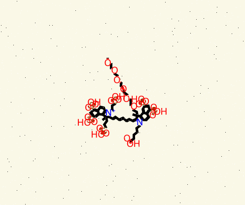 COCCOCCOCCOCCOCCOCCC1(C)\C(=C/C=C/C=C/C=C/C2=[N+](CCCS(=O)(=O)O)c3ccc4c(S(=O)(=O)O)cc(S(=O)(=O)O)cc4c3C2(C)CCCS(=O)(=O)O)N(CCCCCC(=O)O)c2ccc3c(S(=O)(=O)O)cc(S(=O)(=O)O)cc3c21